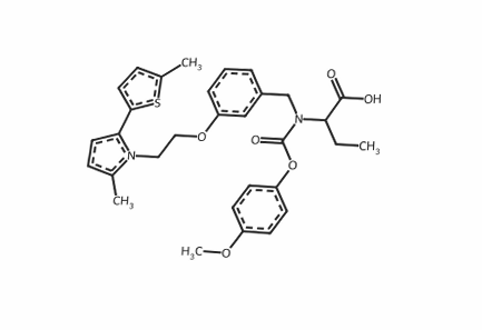 CCC(C(=O)O)N(Cc1cccc(OCCn2c(C)ccc2-c2ccc(C)s2)c1)C(=O)Oc1ccc(OC)cc1